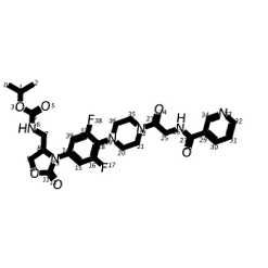 CC(C)OC(=O)NCC1COC(=O)N1c1cc(F)c(N2CCN(C(=O)CNC(=O)c3cccnc3)CC2)c(F)c1